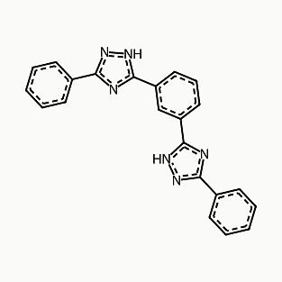 c1ccc(-c2n[nH]c(-c3cccc(-c4nc(-c5ccccc5)n[nH]4)c3)n2)cc1